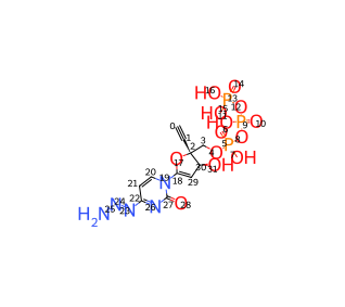 C#C[C@]1(COP(=O)(O)OP(=O)(O)OP(=O)(O)O)OC(n2ccc(N=NN)nc2=O)=C[C@@H]1O